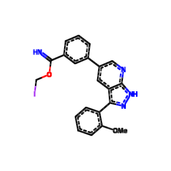 COc1ccccc1-c1n[nH]c2ncc(-c3cccc(C(=N)OCI)c3)cc12